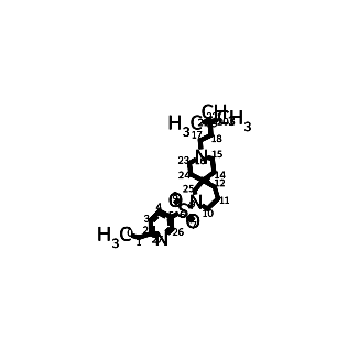 CCc1ccc(S(=O)(=O)N2CCCC3(CCN(CCC(C)(C)C)CC3)C2)cn1